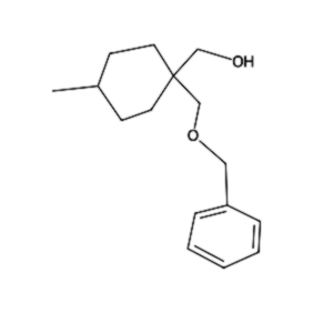 CC1CCC(CO)(COCc2ccccc2)CC1